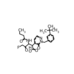 CCCC(=O)NC(C(=O)CF)C(C(=O)O)c1ccnn(Cc2cccc(C(C)(C)C)c2)c1=O